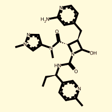 CC[C@@H](NC(=O)N1C(O)[C@H](Cc2ccnc(N)c2)[C@H]1C(=O)N(C)c1cnn(C)c1)c1ccc(C)nc1